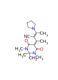 CC(=C1C(=O)N(C)C(C)(C)N(C)C1=O)/C(C#N)=C(\C)N1CCCC1